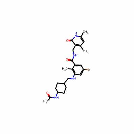 CC(=O)NC1CCC(CNc2cc(Br)cc(C(=O)NCc3c(C)cc(C)[nH]c3=O)c2C)CC1